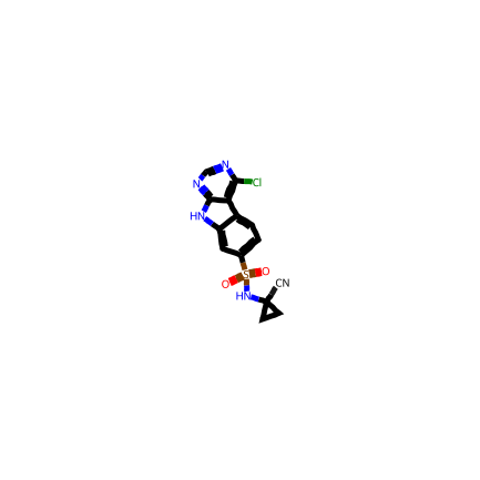 N#CC1(NS(=O)(=O)c2ccc3c(c2)[nH]c2ncnc(Cl)c23)CC1